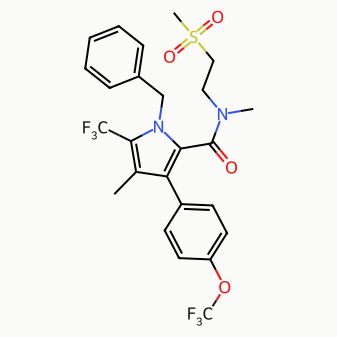 Cc1c(-c2ccc(OC(F)(F)F)cc2)c(C(=O)N(C)CCS(C)(=O)=O)n(Cc2ccccc2)c1C(F)(F)F